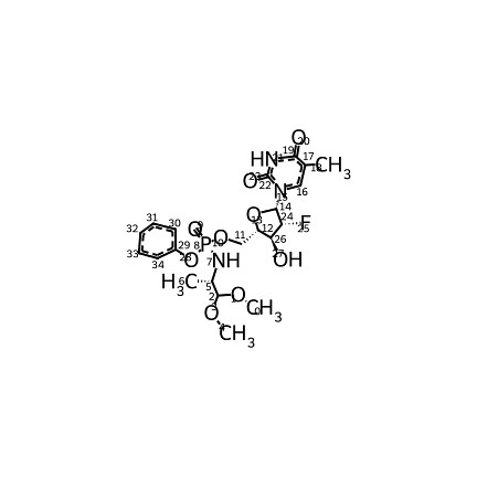 COC(OC)[C@H](C)NP(=O)(OC[C@@H]1O[C@H](n2cc(C)c(=O)[nH]c2=O)[C@H](F)[C@H]1O)Oc1ccccc1